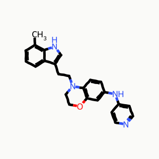 Cc1cccc2c(CCN3CCOc4cc(Nc5ccncc5)ccc43)c[nH]c12